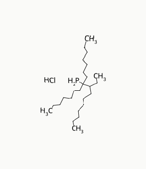 CCCCCCCC(CC)C(P)(CCCCCCC)CCCCCCC.Cl